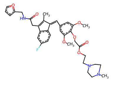 COc1cc(/C=C2/C(C)=C(CC(=O)NCc3ccco3)c3cc(F)ccc32)cc(OC)c1OCC(=O)OCCN1CCN(C)CC1